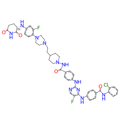 O=C1CC[C@H](Nc2ccc(N3CCN(CCC4CCN(NC(=O)c5ccc(Nc6ncc(F)c(Nc7ccc(C(=O)Nc8ccccc8Cl)cc7)n6)cc5)CC4)CC3)c(F)c2)C(=O)N1